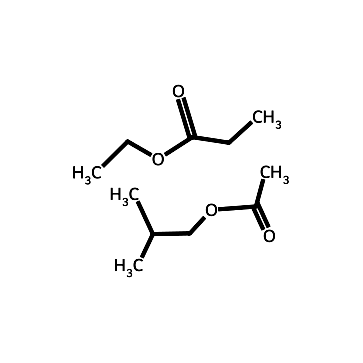 CC(=O)OCC(C)C.CCOC(=O)CC